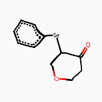 O=C1CCOCC1[Se]c1ccccc1